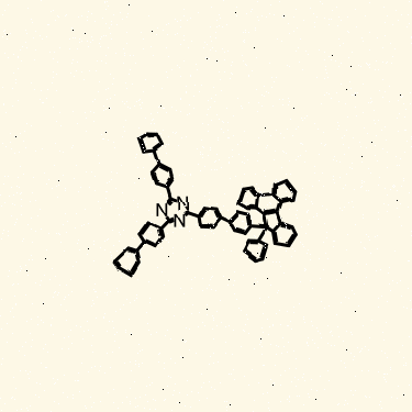 c1ccc(-c2ccc(-c3nc(-c4ccc(-c5ccccc5)cc4)nc(-c4ccc(-c5ccc(C6(c7ccccc7)c7ccccc7-c7c6c6ccccc6c6ccccc76)cc5)cc4)n3)cc2)cc1